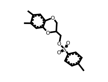 Cc1ccc(S(=O)(=O)OCC2COc3cc(C)c(C)cc3O2)cc1